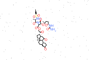 CC#CS(=O)(=O)N[C@H](C)C(=O)N1C(=O)[C@@H](O[C@]2(C)CC[C@H](NC(N)=O)O2)C1C(=O)OCC(=O)[C@H]1CCC2[C@@H]3CCC4=CC(=O)CC[C@]4(C)C3C(=O)C[C@@]21C